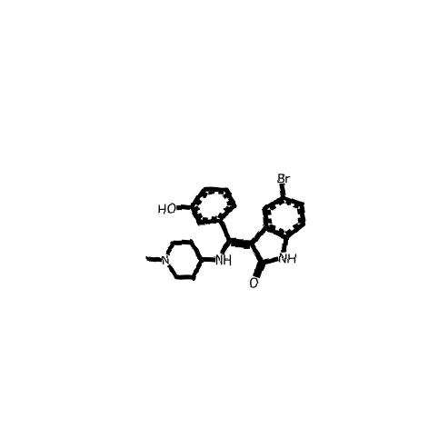 CN1CCC(N/C(=C2\C(=O)Nc3ccc(Br)cc32)c2cccc(O)c2)CC1